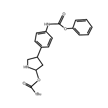 CC(C)(C)C(=O)OC1CC(c2ccc(NC(=O)Oc3ccccc3)cc2)CN1